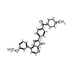 COc1cccc(-c2ccnc3[nH]c(-c4ccc(C(=O)N5CCN(C)CC5)cc4)nc23)c1